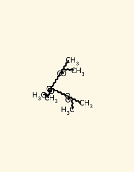 CCCCCC(CCCCC)CC(=O)OCCCCCCCCC1(CCCCCCCCOC(=O)CC(CCCCC)CCCCC)OCC(CN(C)CC)O1